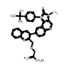 C=C(COCc1nc2ccccc2cc1-c1ccc2ncc3c(c2c1)n(-c1ccc(C(C)(C)C#N)cc1)c(=O)n3C)C(=O)OCC